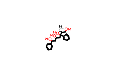 CC(CO)C(O)(CC(O)CC(O)c1ccccc1)c1ccccc1